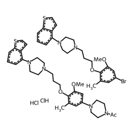 COc1cc(Br)cc(C)c1OCCCN1CCN(c2cccc3sccc23)CC1.COc1cc(N2CCN(C(C)=O)CC2)cc(C)c1OCCCN1CCN(c2cccc3sccc23)CC1.Cl.Cl